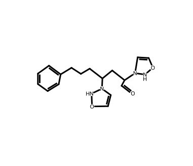 O=CC(CC(CCCc1ccccc1)N1C=CON1)N1C=CON1